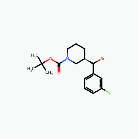 CC(C)(C)OC(=O)N1CCC[C@@H](C(Br)c2cccc(F)c2)C1